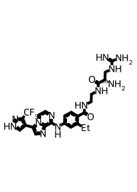 CCc1cc(Nc2nccn3c(-c4c[nH]nc4C(F)(F)F)cnc23)ccc1C(=O)NCCNC(=O)[C@@H](N)CNC(=N)N